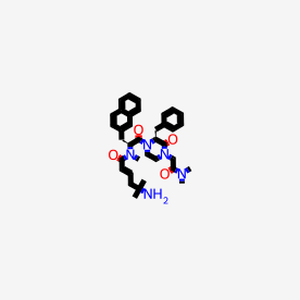 CN(C)C(=O)CN1CCN(C(=O)[C@@H](Cc2ccc3ccccc3c2)N(C)C(=O)/C=C/CC(C)(C)N)[C@H](Cc2ccccc2)C1=O